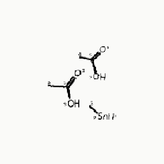 CC(=O)O.CC(=O)O.[CH3][SnH]